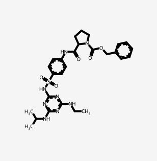 CCNc1nc(NC(C)C)nc(NS(=O)(=O)c2ccc(NC(=O)C3CCCN3C(=O)OCc3ccccc3)cc2)n1